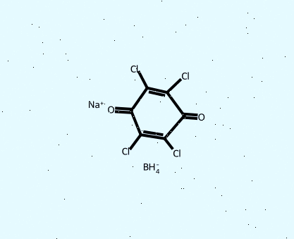 O=C1C(Cl)=C(Cl)C(=O)C(Cl)=C1Cl.[BH4-].[Na+]